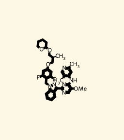 COc1cnc(-c2nn(Cc3c(F)cc(OC[C@H](C)COC4CCCCO4)cc3F)c3ccccc23)nc1Nc1cc(C)ncc1C